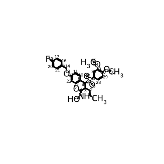 CCCC(C(=O)NO)C(c1ccc(OCc2ccc(F)cc2)cc1)S(=O)(=O)c1ccc(OC)c(OC)c1